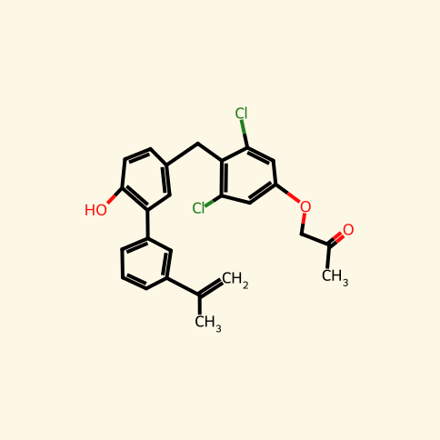 C=C(C)c1cccc(-c2cc(Cc3c(Cl)cc(OCC(C)=O)cc3Cl)ccc2O)c1